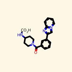 O=C(O)NC1CCN(C(=O)c2cccc(-c3cn4ccccc4n3)c2)CC1